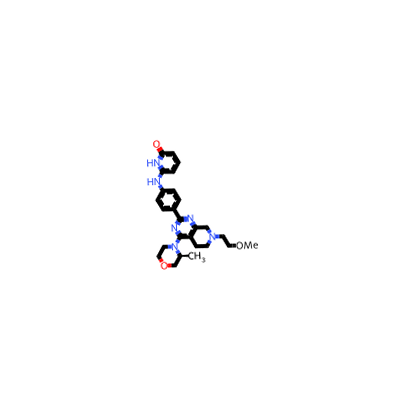 COCCN1CCc2c(nc(-c3ccc(Nc4cccc(=O)[nH]4)cc3)nc2N2CCOC[C@@H]2C)C1